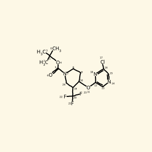 CC(C)(C)OC(=O)N1CCC(Oc2cncc(Cl)n2)C(C(F)(F)F)C1